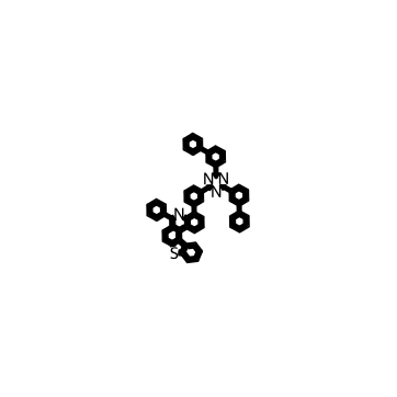 c1ccc(-c2cccc(-c3nc(-c4cccc(-c5ccccc5)c4)nc(-c4cccc(-c5cccc6c5nc(-c5ccccc5)c5ccc7sc8ccccc8c7c56)c4)n3)c2)cc1